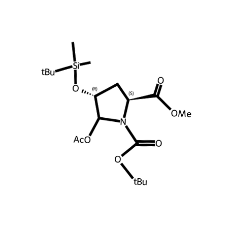 COC(=O)[C@@H]1C[C@@H](O[Si](C)(C)C(C)(C)C)C(OC(C)=O)N1C(=O)OC(C)(C)C